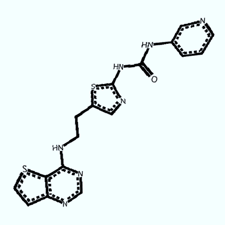 O=C(Nc1cccnc1)Nc1ncc(CCNc2ncnc3ccsc23)s1